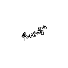 CC(C)(c1ccc(OCC(O)CNS(C)(=O)=O)cc1)c1cc(Cl)c(OC[C@H]2CO2)c(Cl)c1